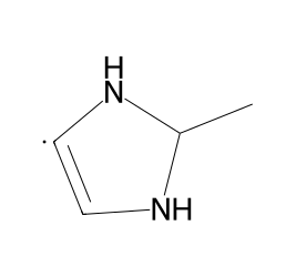 CC1N[C]=CN1